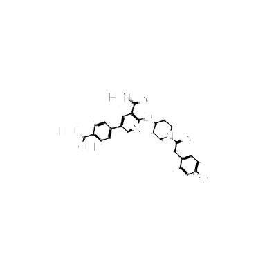 C[C@H](O)c1ccc(-c2cnc(OC3CCN(C(=O)Cc4ccc(O)cc4)CC3)c(C(N)=O)c2)cc1